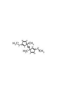 CCC1=C[C](C)([Ni][C]2(C)C=CC(CC)=C2)C=C1